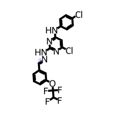 FC(F)C(F)(F)Oc1cccc(/C=N/Nc2nc(Cl)cc(Nc3ccc(Cl)cc3)n2)c1